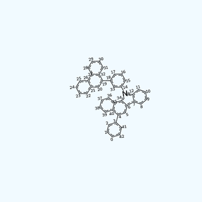 c1ccc(-c2cc3c4ccccc4n(-c4cccc(-c5cc6ccccc6c6ccccc56)c4)c3c3ccccc23)cc1